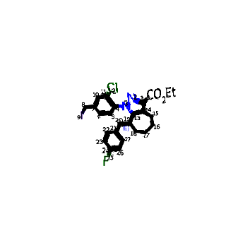 CCOC(=O)c1nn(-c2ccc(CI)cc2Cl)c2c1CCCC/C2=C\c1ccc(F)cc1